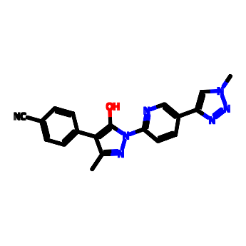 Cc1nn(-c2ccc(-c3cn(C)nn3)cn2)c(O)c1-c1ccc(C#N)cc1